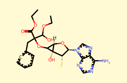 CCOC(=O)C(Cc1ccccc1)(OC1[C@H]2O[C@@H](n3cnc4c(N)ncnc43)[C@H](F)[C@@]12O)C(O)OCC